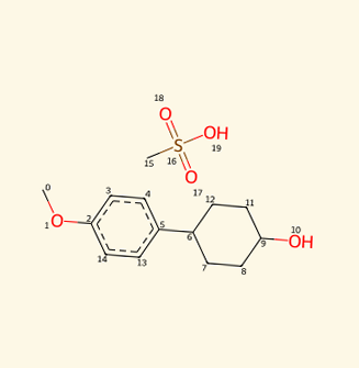 COc1ccc(C2CCC(O)CC2)cc1.CS(=O)(=O)O